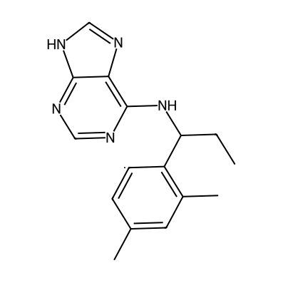 CCC(Nc1ncnc2[nH]cnc12)c1[c]cc(C)cc1C